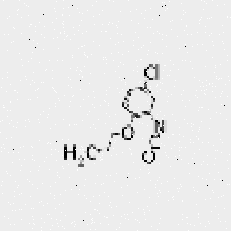 C=CCOc1ccc(Cl)cc1N=C=O